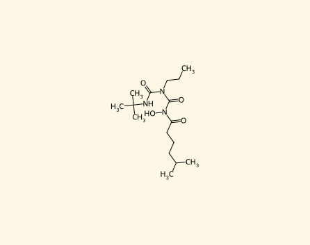 CCCN(C(=O)NC(C)(C)C)C(=O)N(O)C(=O)CCCC(C)C